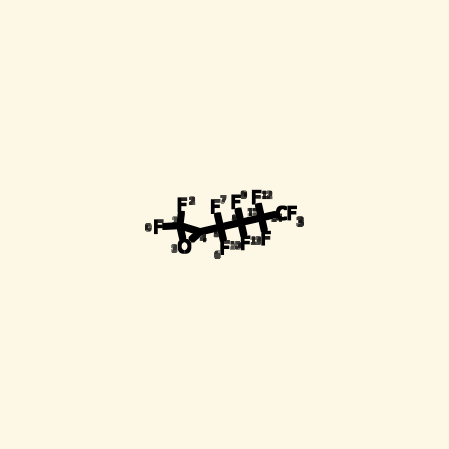 FC1(F)OC1C(F)(F)C(F)(F)C(F)(F)C(F)(F)F